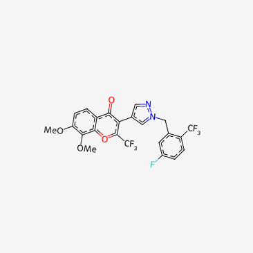 COc1ccc2c(=O)c(-c3cnn(Cc4cc(F)ccc4C(F)(F)F)c3)c(C(F)(F)F)oc2c1OC